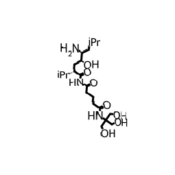 CC(C)C[C@H](N)[C@@H](O)C[C@H](C(=O)NC(=O)CCCC(=O)NC(CO)(CO)CO)C(C)C